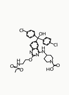 CS(=O)(=O)NCCOc1nc(NC2CCN(C(=O)O)CC2)c2cc(C(O)(c3ccc(Cl)cc3)c3ccc(Cl)cc3)ccc2n1